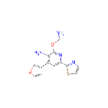 NCOc1nc(-c2nccs2)cc(-c2ccoc2)c1N